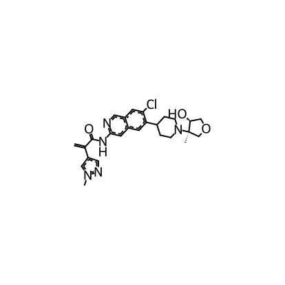 C=C(C(=O)Nc1cc2cc(C3CCN([C@]4(C)COC[C@@H]4O)CC3)c(Cl)cc2cn1)c1cnn(C)c1